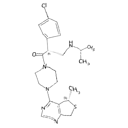 CC(C)NC[C@H](C(=O)N1CCN(c2ncnc3c2[C@H](C)SC3)CC1)c1ccc(Cl)cc1